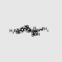 CCCCOC(=O)N[C@@H](CNC(=O)CC1ON=C(c2ccc(-c3noc(C)n3)cc2)[C@H]1C)C(=O)O